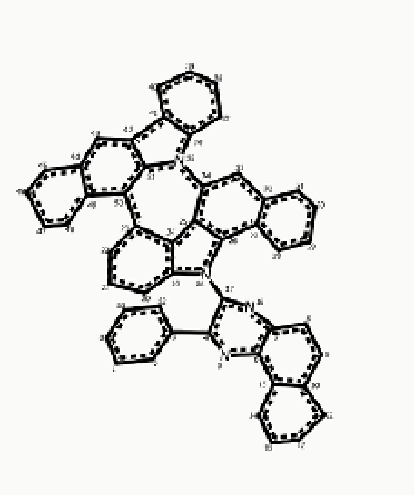 c1ccc(-c2nc3c(ccc4ccccc43)nc2-n2c3cccc4c3c3c2c2ccccc2cc3n2c3ccccc3c3cc5ccccc5c4c32)cc1